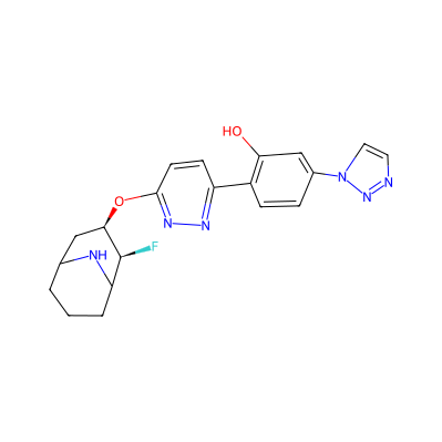 Oc1cc(-n2ccnn2)ccc1-c1ccc(O[C@@H]2CC3CCCC(N3)[C@@H]2F)nn1